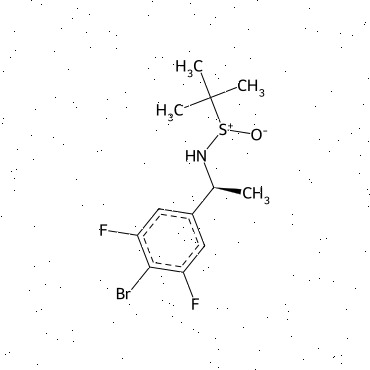 C[C@H](N[S+]([O-])C(C)(C)C)c1cc(F)c(Br)c(F)c1